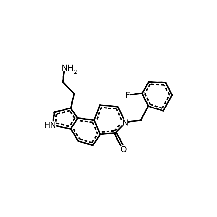 NCCc1c[nH]c2ccc3c(=O)n(Cc4ccccc4F)ccc3c12